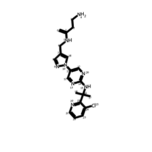 C=C(CCN)NCc1cnn(-c2cnc(NC(C)(C)c3ncccc3Cl)nc2)c1